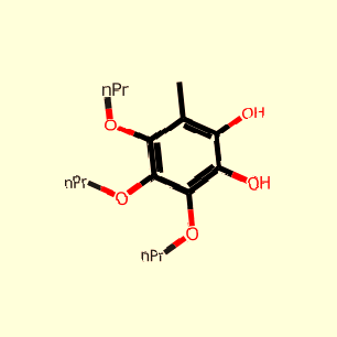 CCCOc1c(C)c(O)c(O)c(OCCC)c1OCCC